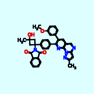 COc1cccc(-c2cc3cnc4cc(C)nn4c3nc2-c2ccc(C3(N4C(=O)c5ccccc5C4=O)CC(C)(O)C3)cc2)c1